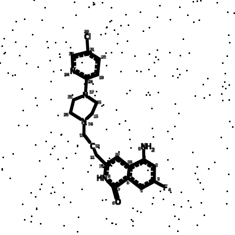 Nc1cc(F)cc2c(=O)[nH]c(CCCN3CCN(c4ccc(Cl)cn4)CC3)cc12